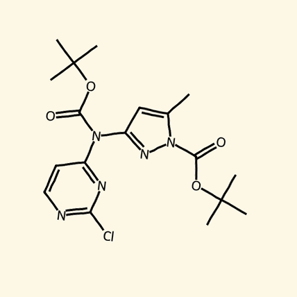 Cc1cc(N(C(=O)OC(C)(C)C)c2ccnc(Cl)n2)nn1C(=O)OC(C)(C)C